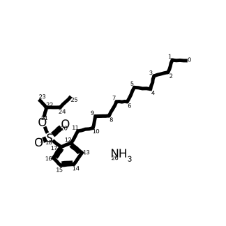 CCCCCCCCCCCCc1ccccc1S(=O)(=O)OC(C)CC.N